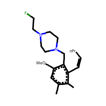 CCC/C=C\c1c(C)c(C)cc(OC)c1CN1CCN(CCF)CC1